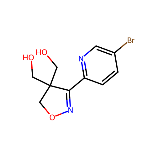 OCC1(CO)CON=C1c1ccc(Br)cn1